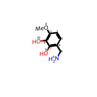 COc1ccc(CN)c(O)c1O